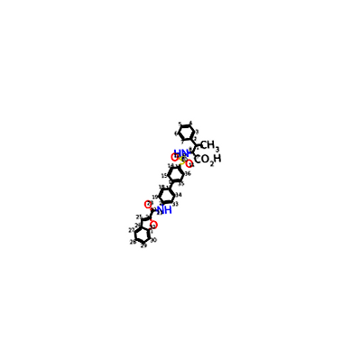 CC(c1ccccc1)[C@H](NS(=O)(=O)c1ccc(-c2ccc(NC(=O)c3cc4ccccc4o3)cc2)cc1)C(=O)O